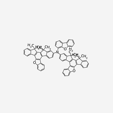 CC1(C)c2ccccc2-c2c1c1c(c3c2oc2ccccc23)-c2ccc(N(c3ccc4c(c3)C(C)(C)c3c5c(c6oc7ccccc7c6c3-4)-c3ccccc3C5(C)C)c3cccc4c3oc3ccccc34)cc2C1(C)C